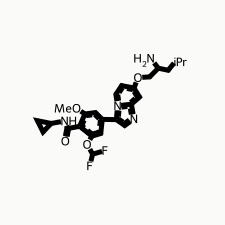 COc1cc(-c2cnc3cc(OCC(N)CC(C)C)ccn23)cc(OC(F)F)c1C(=O)NC1CC1